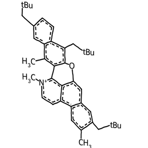 Cc1cc2c(cc1CC(C)(C)C)cc1c3c([n+](C)ccc32)-c2c(c(CC(C)(C)C)c3ccc(CC(C)(C)C)cc3c2C)O1